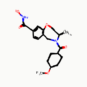 CC1COc2cc(C(=O)NO)ccc2CN1C(=O)C1CCC(OC(F)(F)F)CC1